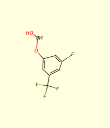 OBOc1cc(F)cc(C(F)(F)F)c1